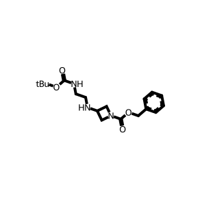 CC(C)(C)OC(=O)NCCNC1CN(C(=O)OCc2ccccc2)C1